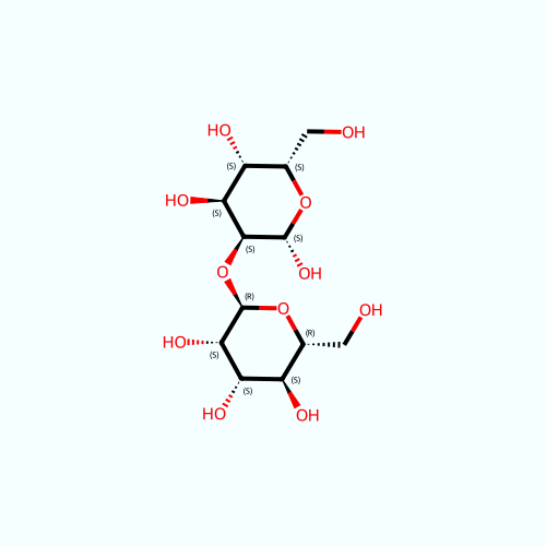 OC[C@@H]1O[C@H](O)[C@@H](O[C@H]2O[C@H](CO)[C@@H](O)[C@H](O)[C@@H]2O)[C@@H](O)[C@@H]1O